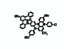 Cc1cc2c3c(c1)N(c1ccc(C(C)(C)C)cc1)c1cc4c(cc1B3c1ccc(C(C)(C)C)cc1N2c1ccc(Cl)cc1)N1B2c3c(cc(C(C)(C)C)cc3-c3ccccc3N24)-c2ccccc21